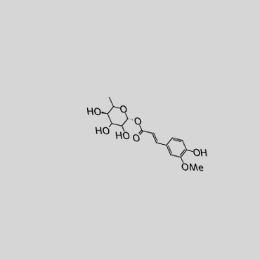 COc1cc(/C=C/C(=O)O[C@H]2OC(C)[C@H](O)C(O)C2O)ccc1O